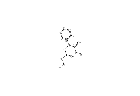 CCOC(=O)CN(C(=O)CC)c1[c]cccc1